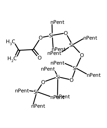 C=C(C)C(=O)O[Si](CCCCC)(CCCCC)O[Si](CCCCC)(CCCCC)O[Si](CCCCC)(CCCCC)O[Si](CCCCC)(CCCCC)O[Si](CCCCC)(CCCCC)CCCCC